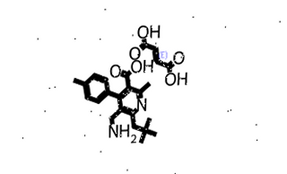 Cc1ccc(-c2c(CN)c(CC(C)(C)C)nc(C)c2C(=O)O)cc1.O=C(O)/C=C/C(=O)O